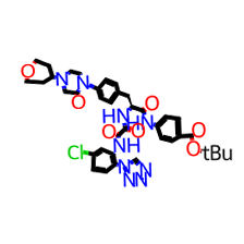 CC(C)(C)OC(=O)c1ccc(NC(=O)[C@H](Cc2ccc(N3CCN(C4CCOCC4)CC3=O)cc2)NC(=O)C(=O)Nc2cc(Cl)ccc2-n2cnnn2)cc1